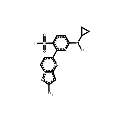 CCS(=O)(=O)c1ccc(N(C)C2CC2)nc1-c1ccn2nc(C(F)(F)F)cc2n1